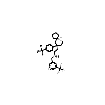 FC(F)(F)c1ccc([C@@]2(CCNCc3cncc(C(F)(F)F)c3)CCOC3(CCCC3)C2)cc1